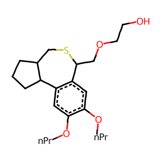 CCCOc1cc2c(cc1OCCC)C1CCCC1CSC2COCCO